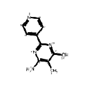 Cc1c(N)nc(-c2ccncc2)nc1O